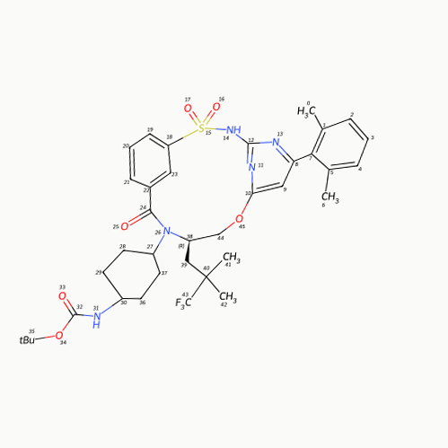 Cc1cccc(C)c1-c1cc2nc(n1)NS(=O)(=O)c1cccc(c1)C(=O)N(C1CCC(NC(=O)OC(C)(C)C)CC1)[C@H](CC(C)(C)C(F)(F)F)CO2